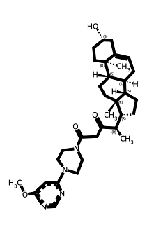 COc1cc(N2CCN(C(=O)CC(=O)[C@H](C)[C@H]3CC[C@H]4[C@@H]5CC=C6C[C@@H](O)CC[C@]6(C)[C@H]5CC[C@@]34C)CC2)ncn1